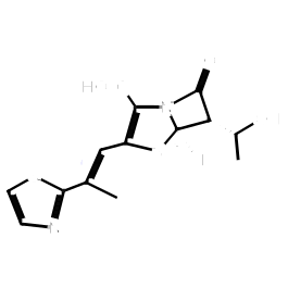 C/C(=C\C1=C(C(=O)O)N2C(=O)[C@H](C(C)O)[C@H]2S1)c1nccs1